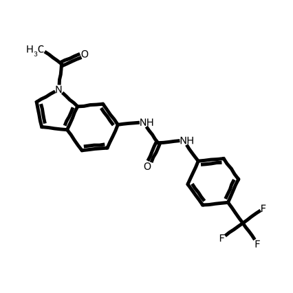 CC(=O)n1ccc2ccc(NC(=O)Nc3ccc(C(F)(F)F)cc3)cc21